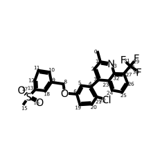 Cc1cc(-c2cc(OCc3cccc(S(C)(=O)=O)c3)ccc2Cl)c2cccc(C(F)(F)F)c2n1